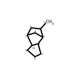 CC1CC2CC1C1CCCC21